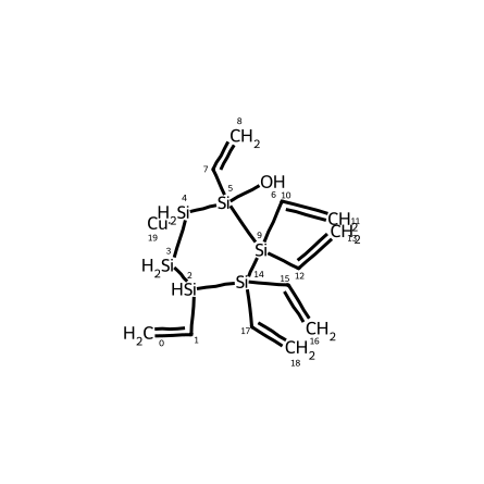 C=C[SiH]1[SiH2][SiH2][Si](O)(C=C)[Si](C=C)(C=C)[Si]1(C=C)C=C.[Cu]